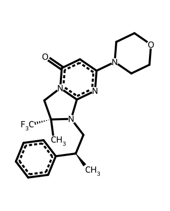 C[C@H](CN1c2nc(N3CCOCC3)cc(=O)n2C[C@@]1(C)C(F)(F)F)c1ccccc1